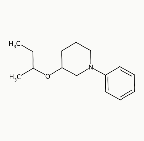 CCC(C)OC1CCCN(c2ccccc2)C1